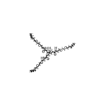 [N-]=[N+]=NCCOCCOCCNC(=O)CCC(N)(CCC(=O)NCCOCCOCCN=[N+]=[N-])CCC(=O)NCCOCCOCCN=[N+]=[N-]